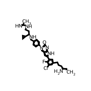 C=C[C@H](N)CCCc1cc(Cl)c(F)c(-c2cc3cn(-c4ccc(CNC(CCNC(C)=N)C5CC5)cc4)c(=O)nc3[nH]2)c1